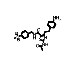 CC(=O)Nc1nc(CCc2ccc(N)cc2)c(C(=O)NCc2ccc(S(C)(=O)=O)cc2)s1